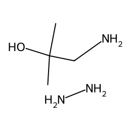 CC(C)(O)CN.NN